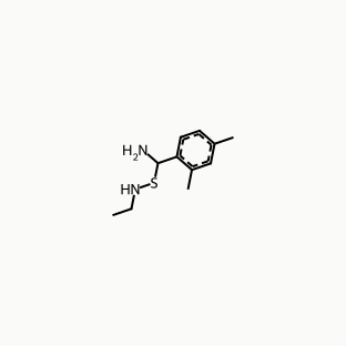 CCNSC(N)c1ccc(C)cc1C